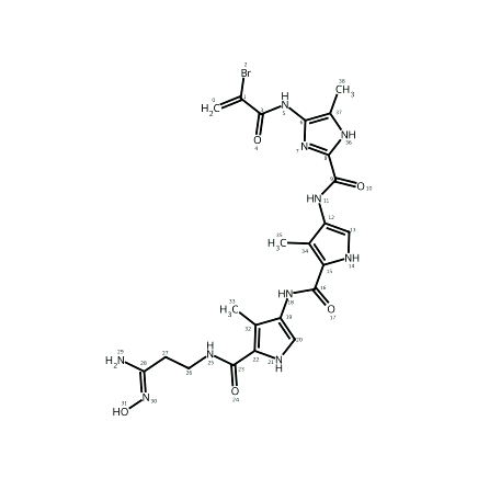 C=C(Br)C(=O)Nc1nc(C(=O)Nc2c[nH]c(C(=O)Nc3c[nH]c(C(=O)NCCC(N)=NO)c3C)c2C)[nH]c1C